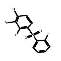 [2H]c1ccc(S(=O)(=O)c2ccccc2F)c(F)c1[2H]